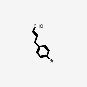 O=CC=CCc1ccc(Br)cc1